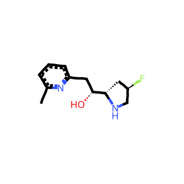 Cc1cccc(C[C@@H](O)[C@@H]2C[C@@H](F)CN2)n1